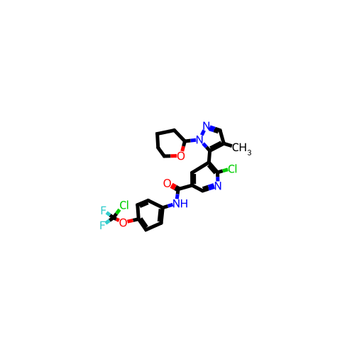 Cc1cnn(C2CCCCO2)c1-c1cc(C(=O)Nc2ccc(OC(F)(F)Cl)cc2)cnc1Cl